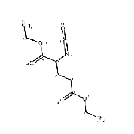 CCOC(=O)CCC(N=C=O)C(=O)OCC